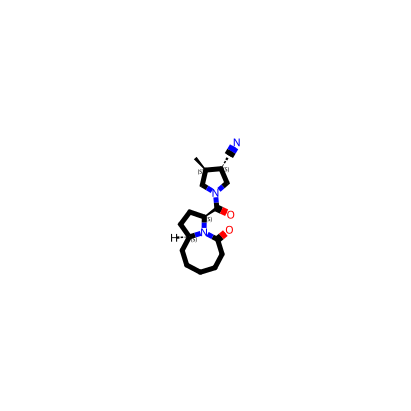 C[C@@H]1CN(C(=O)[C@@H]2CC[C@@H]3CCCCCC(=O)N32)C[C@H]1C#N